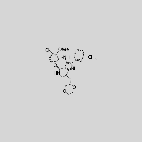 COc1c(Cl)cccc1Nc1c(-c2ccnc(C)n2)[nH]c2c1C(=O)NCC2C[C@H]1COCCO1